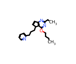 CCCCOc1nc(CC)nc2c1C(CCCc1ccccn1)C=C2